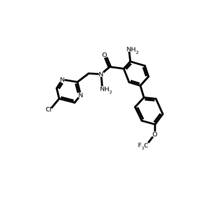 Nc1ccc(-c2ccc(OC(F)(F)F)cc2)cc1C(=O)N(N)Cc1ncc(Cl)cn1